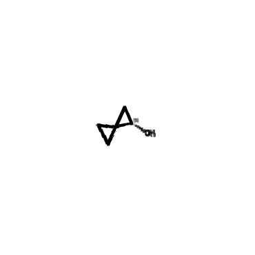 O[C@H]1CC12CC2